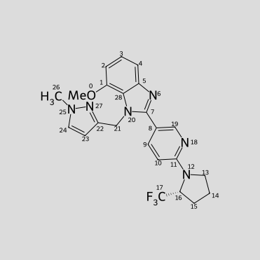 COc1cccc2nc(-c3ccc(N4CCC[C@@H]4C(F)(F)F)nc3)n(Cc3ccn(C)n3)c12